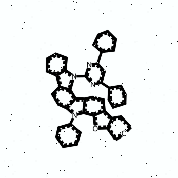 c1ccc(-c2cc(-c3ccccc3)nc(-n3c4ccccc4c4ccc5c(c6ccc7c8ccccc8oc7c6n5-c5ccccc5)c43)n2)cc1